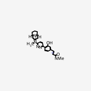 CNC(=O)/C=C/c1ccc(-c2ccc(N(C)[C@H]3C[C@H]4CCC[C@@H](C3)N4)nn2)c(O)c1